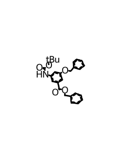 CC(C)(C)OC(=O)Nc1cc(OCc2ccccc2)cc(C(=O)OCc2ccccc2)c1